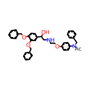 CC(=O)N(Cc1ccccc1)c1ccc(OCCNCC(O)c2ccc(OCc3ccccc3)c(OCc3ccccc3)c2)cc1